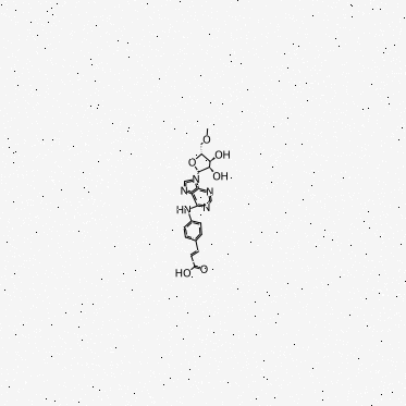 COC[C@H]1O[C@@H](n2cnc3c(Nc4ccc(/C=C/C(=O)O)cc4)ncnc32)[C@H](O)[C@@H]1O